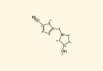 N#Cc1ccc(CN2CCC(O)C2)s1